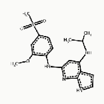 COc1cc(S(C)(=O)=O)ccc1Nc1cc(NC(C)C)c2cc[nH]c2n1